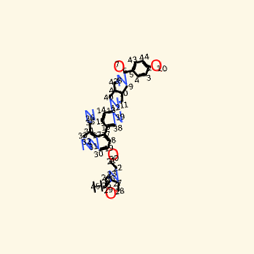 COc1ccc(C(=O)N2CC3CN(c4ccc(-c5cc(OCCN6C[C@@H]7CC6CO7)cn6ncc(C#N)c56)cn4)CC3C2)cc1